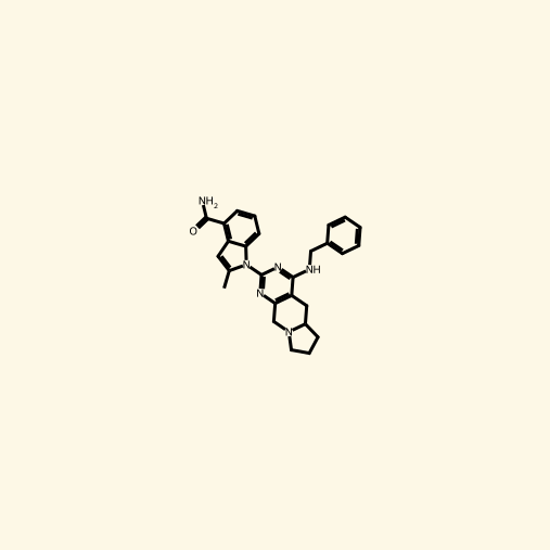 Cc1cc2c(C(N)=O)cccc2n1-c1nc2c(c(NCc3ccccc3)n1)CC1CCCN1C2